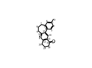 Cc1ccc2c(c1)CCCc1nc3c(cc1-2)C(=O)CCC3